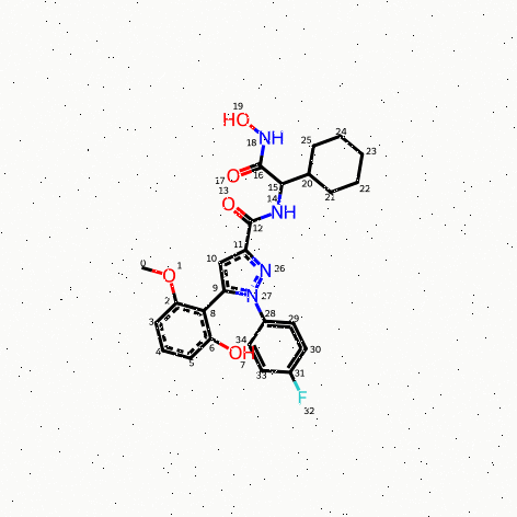 COc1cccc(O)c1-c1cc(C(=O)NC(C(=O)NO)C2CCCCC2)nn1C1=C=C=C(F)C=C1